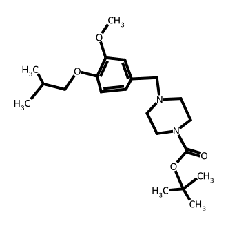 COc1cc(CN2CCN(C(=O)OC(C)(C)C)CC2)ccc1OCC(C)C